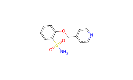 NS(=O)(=O)c1ccccc1OCc1ccncc1